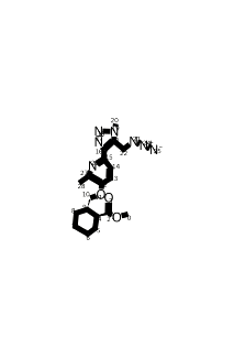 COC(=O)[C@H]1CCCC[C@@H]1COc1ccc(-c2nnn(C)c2CN=[N+]=[N-])nc1C